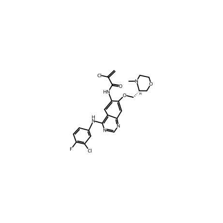 C=C(Cl)C(=O)Nc1cc2c(Nc3ccc(F)c(Cl)c3)ncnc2cc1OC[C@H]1COCCN1C